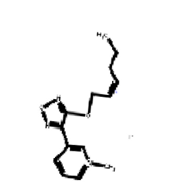 CCC/C=C\COc1nsnc1-c1ccc[n+](C)c1.[I-]